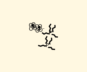 CCCC[P+](CCCC)(CCCC)CCCC.CCCC[P+](CCCC)(CCCC)CCCC.O=S(=O)([O-])OOS(=O)(=O)[O-]